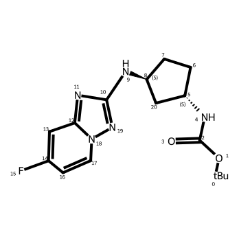 CC(C)(C)OC(=O)N[C@H]1CC[C@H](Nc2nc3cc(F)ccn3n2)C1